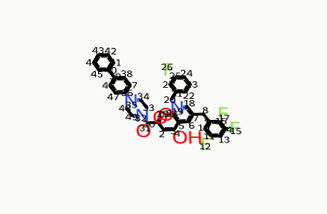 O=C(/C=C(/O)c1cc(Cc2cc(F)cc(F)c2F)cn(Cc2cccc(F)c2)c1=O)C(=O)N1CCN(c2ccc(-c3ccccc3)cc2)CC1